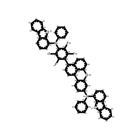 Fc1c(F)c(N(c2ccccc2)c2cccc3c2oc2ccccc23)c(F)c(F)c1-c1ccc2c3c(cccc13)Oc1cc(N(c3ccccc3)c3cccc4c3oc3ccccc34)ccc1-2